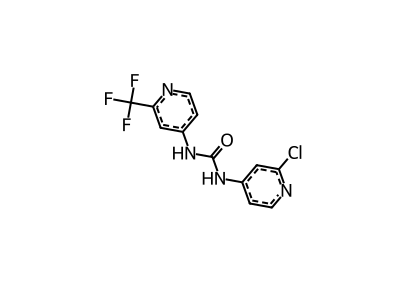 O=C(Nc1ccnc(Cl)c1)Nc1ccnc(C(F)(F)F)c1